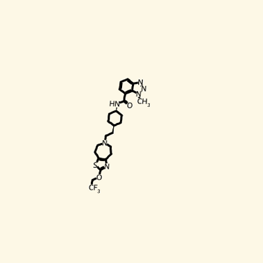 Cn1nnc2cccc(C(=O)N[C@H]3CC[C@H](CCN4CCc5nc(OCC(F)(F)F)sc5CC4)CC3)c21